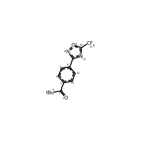 CC(C)(C)C(=O)c1ccc(-c2noc(C(F)(F)F)n2)cc1